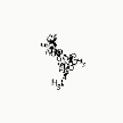 CCCCNC(=O)N[C@@H](C)C(=O)OC[C@H]1O[C@@H](n2cc(F)c(=O)[nH]c2=O)[C@H](O)[C@@H]1O